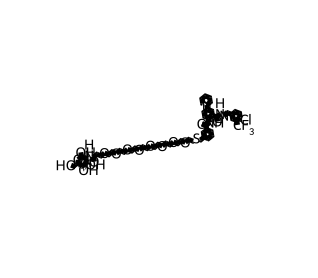 O=C(CCOCCOCCOCCOCCOCCOCCOCCOCCSCc1cccc(C(=O)Nc2ccc(N3CCCCC3)cc2C(=O)NN=Cc2ccc(Cl)c(C(F)(F)F)c2)c1)N[C@H]1C(O)O[C@H](CO)[C@@H](O)[C@@H]1O